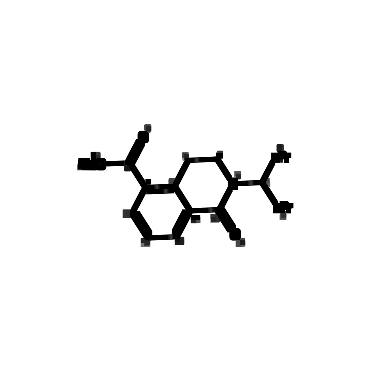 CCCC(CCC)N1CCc2c(C(=O)OC)cccc2C1=O